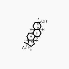 CC(=O)[C@@]1(C)[C@H](C)C[C@H]2[C@@H]3CC[C@@H]4C[C@](C)(O)CC[C@@H]4[C@H]3CC[C@@]21C